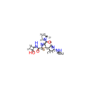 CC[C@@H](C)Nc1cc(C)c(-c2sc(C(=O)NC3CCC3O)nc2C(=O)N2CCC[C@@H]2C)cn1